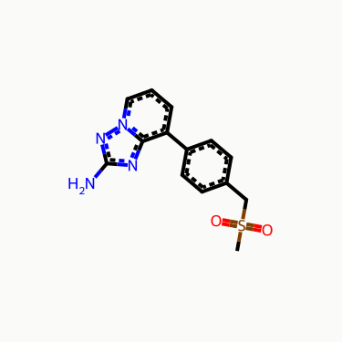 CS(=O)(=O)Cc1ccc(-c2cccn3nc(N)nc23)cc1